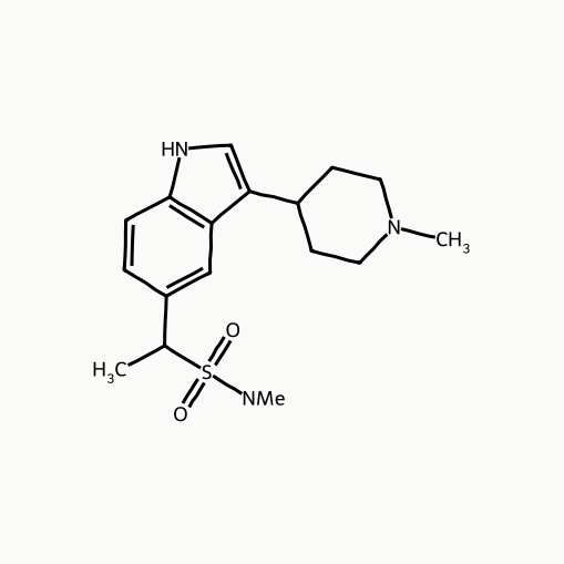 CNS(=O)(=O)C(C)c1ccc2[nH]cc(C3CCN(C)CC3)c2c1